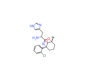 NC(Cc1c[nH]cn1)C1=N[C@@]2(c3ccccc3Cl)CCC[C@@H](O1)C2=O